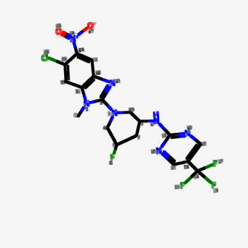 Cn1c(N2CC(F)CC(Nc3ncc(C(F)(F)F)cn3)C2)nc2cc([N+](=O)[O-])c(Cl)cc21